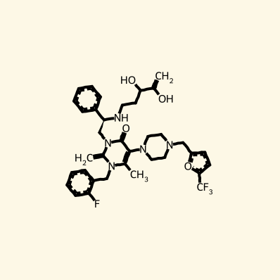 C=C(O)C(O)CCN[C@@H](CN1C(=C)N(Cc2ccccc2F)C(C)=C(N2CCN(Cc3ccc(C(F)(F)F)o3)CC2)C1=O)c1ccccc1